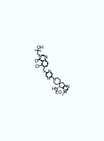 CC(C)(O)Cn1cnc2ccc(Sc3cnc(N4CCC5(CC4)Cc4ncsc4[C@@H]5NC(=O)O)cn3)c(Cl)c2c1=O